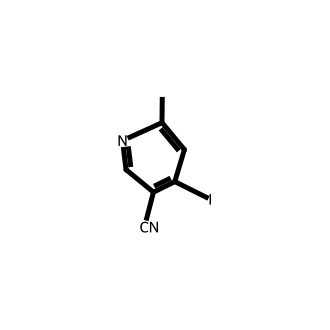 Cc1cc(I)c(C#N)cn1